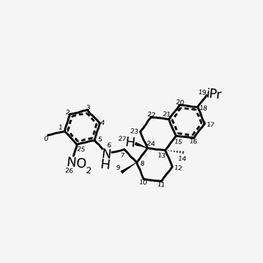 Cc1cccc(NC[C@@]2(C)CCC[C@]3(C)c4ccc(C(C)C)cc4CC[C@@H]23)c1[N+](=O)[O-]